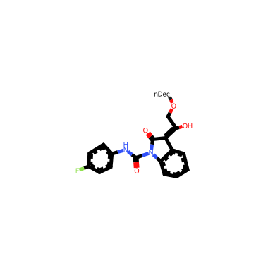 CCCCCCCCCCOCC(O)=C1C(=O)N(C(=O)Nc2ccc(F)cc2)c2ccccc21